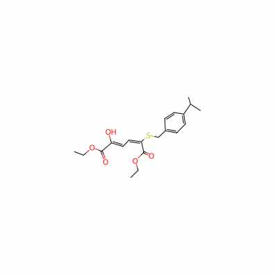 CCOC(=O)C(O)=CC=C(SCc1ccc(C(C)C)cc1)C(=O)OCC